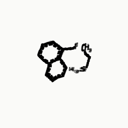 CC[SiH3].Fc1cccc2ccccc12